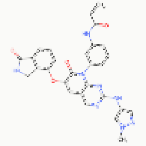 C=CC(=O)Nc1cccc(-n2c(=O)c(Oc3cccc4c3CNC4=O)cc3cnc(Nc4cnn(C)c4)nc32)c1